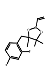 C=CB1OC(C)(C)C(C)(Cc2ccc(F)cc2F)O1